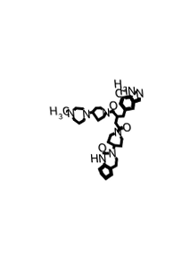 Cc1cc(CC(CC(=O)N2CCC(N3CCc4ccccc4NC3=O)CC2)C(=O)N2CCC(N3CCCN(C)CC3)CC2)cc2cn[nH]c12